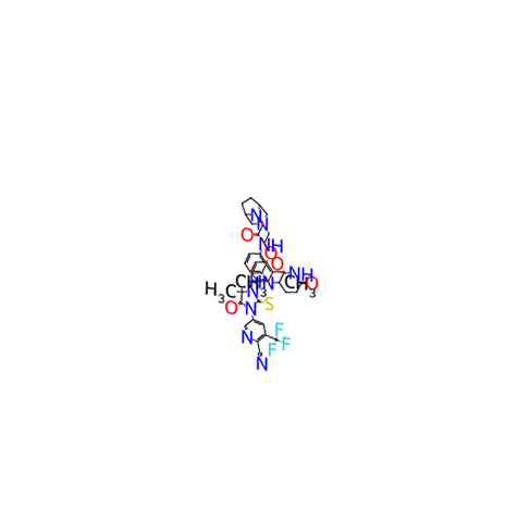 CCc1cc(N2C(=S)N(c3cnc(C#N)c(C(F)(F)F)c3)C(=O)C2(C)C)ccc1OCCN1CC2CCC(C1)N2CC(=O)Nc1cccc(NC2CCC(=O)NC2=O)c1